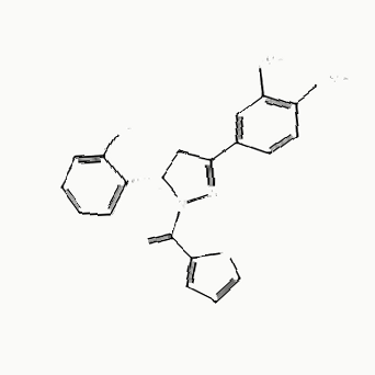 COc1ccc(C2=NN(C(=O)c3ccco3)[C@H](c3ccccc3O)C2)cc1OC